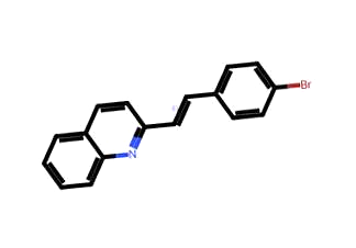 Brc1ccc(/C=C/c2ccc3ccccc3n2)cc1